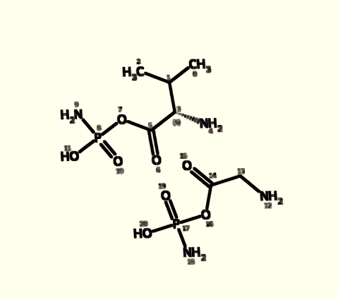 CC(C)[C@H](N)C(=O)OP(N)(=O)O.NCC(=O)OP(N)(=O)O